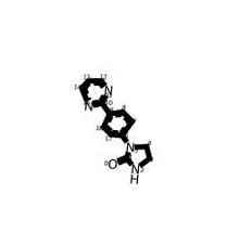 O=C1NCCN1c1ccc(-c2ncccn2)cc1